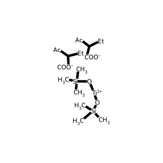 CCC(C(C)=O)C(=O)[O-].CCC(C(C)=O)C(=O)[O-].C[Si](C)(C)[O][Ti+2][O][Si](C)(C)C